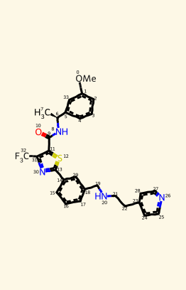 COc1cccc([C@H](C)NC(=O)c2sc(-c3cccc(CNCCc4ccncc4)c3)nc2C(F)(F)F)c1